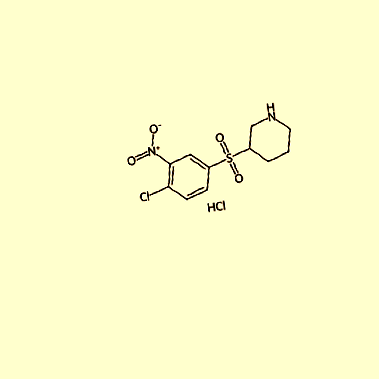 Cl.O=[N+]([O-])c1cc(S(=O)(=O)C2CCCNC2)ccc1Cl